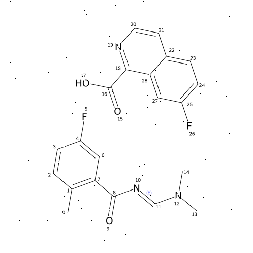 Cc1ccc(F)cc1C(=O)/N=C/N(C)C.O=C(O)c1nccc2ccc(F)cc12